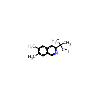 Cc1cc2cnc(C(C)(C)C)cc2cc1C